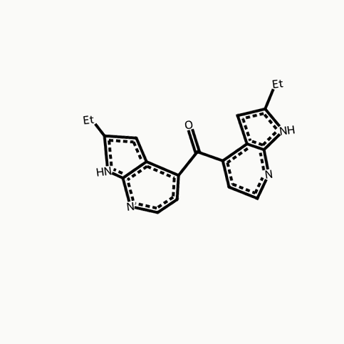 CCc1cc2c(C(=O)c3ccnc4[nH]c(CC)cc34)ccnc2[nH]1